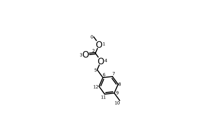 COC(=O)OCc1ccc(C)cc1